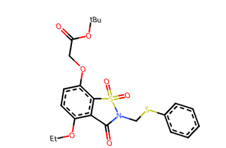 CCOc1ccc(OCC(=O)OC(C)(C)C)c2c1C(=O)N(CSc1ccccc1)S2(=O)=O